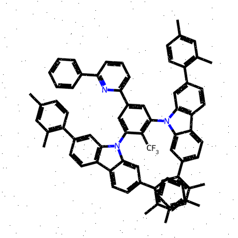 Cc1ccc(-c2ccc3c4ccc(-c5ccc(C)cc5C)cc4n(-c4cc(-c5cccc(-c6ccccc6)n5)cc(-n5c6cc(-c7ccc(C)cc7C)ccc6c6ccc(-c7ccc(C)cc7C)cc65)c4C(F)(F)F)c3c2)c(C)c1